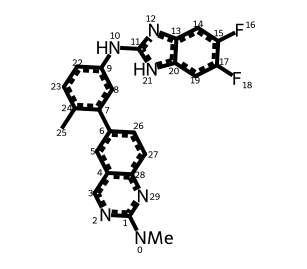 CNc1ncc2cc(-c3cc(Nc4nc5cc(F)c(F)cc5[nH]4)ccc3C)ccc2n1